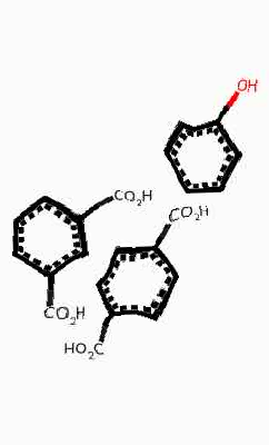 O=C(O)c1ccc(C(=O)O)cc1.O=C(O)c1cccc(C(=O)O)c1.Oc1ccccc1